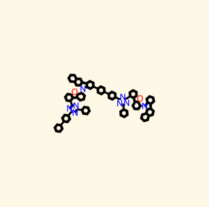 c1ccc(-c2ccc(-c3nc(-c4ccccc4)nc(-c4cccc5oc6c(-n7c8cc(-c9ccc(-c%10ccc(-c%11nc(-c%12ccccc%12)nc(-c%12cccc%13oc%14c(-n%15c%16ccccc%16c%16ccc%17ccccc%17c%16%15)cccc%14c%12%13)n%11)cc%10)cc9)ccc8c8cc9ccccc9cc87)cccc6c45)n3)cc2)cc1